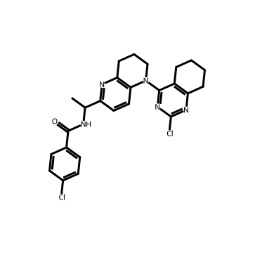 CC(NC(=O)c1ccc(Cl)cc1)c1ccc2c(n1)CCCN2c1nc(Cl)nc2c1CCCC2